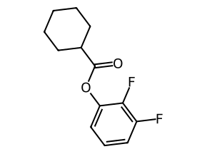 O=C(Oc1cccc(F)c1F)C1CCCCC1